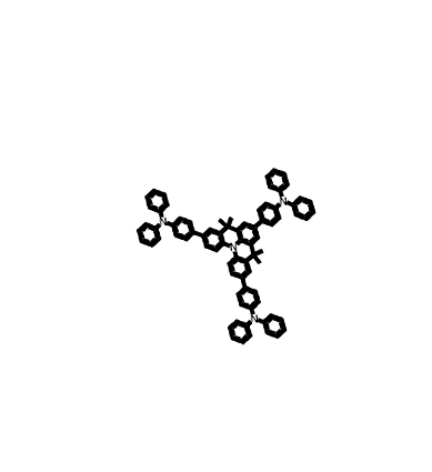 CC1(C)c2cc(-c3ccc(N(c4ccccc4)c4ccccc4)cc3)ccc2N2c3ccc(-c4ccc(N(c5ccccc5)c5ccccc5)cc4)cc3C(C)(C)c3cc(-c4ccc(N(c5ccccc5)c5ccccc5)cc4)cc1c32